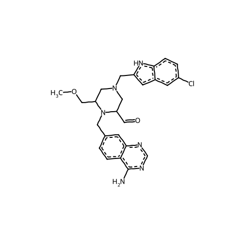 COCC1CN(Cc2cc3cc(Cl)ccc3[nH]2)CC(C=O)N1Cc1ccc2c(N)ncnc2c1